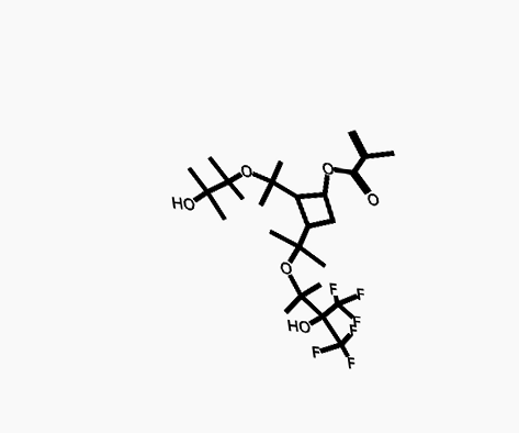 C=C(C)C(=O)OC1CC(C(C)(C)OC(C)(C)C(O)(C(F)(F)F)C(F)(F)F)C1C(C)(C)OC(C)(C)C(C)(C)O